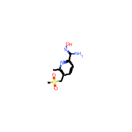 Cc1nc(C(N)=NO)ccc1CS(C)(=O)=O